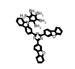 Bc1c(B)c(B)c(-n2c3ccccc3c3ccc(-c4nc(-c5ccc6c(c5)oc5ccccc56)nc(-c5ccc6c(c5)oc5ccccc56)n4)cc32)c(B)c1B